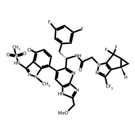 COCc1nc2nc([C@H](Cc3cc(F)cc(F)c3)NC(=O)Cn3nc(C(F)(F)F)c4c3C(F)(F)C3C[C@H]43)c(-c3ccc(Cl)c4c(NS(C)(=O)=O)nn(C)c34)cc2[nH]1